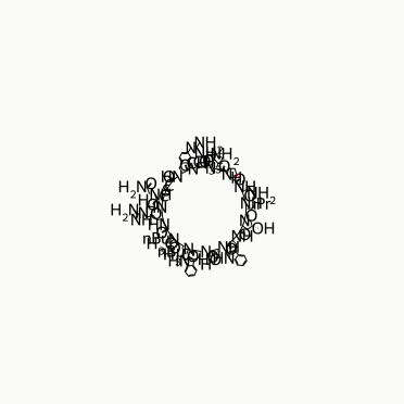 CCCC[C@H]1C(=O)N(C)[C@@H](CCCC)C(=O)N[C@@H](CCCNC(=N)N)C(=O)N[C@H](C(=O)NCC(N)=O)CSCC(=O)N[C@@H](Cc2ccc(N=C(N)N)cc2)C(=O)N(C)[C@@H](C)C(=O)N[C@@H](CC(N)=O)C(=O)N2CCC[C@H]2C(=O)N[C@@H](CN)C(=O)N[C@@H](CC(C)C)C(=O)N2C[C@H](O)CC2C(=O)N[C@@H](Cc2c[nH]c3ccccc23)C(=O)N[C@@H](CO)C(=O)N[C@@H](Cc2c[nH]c3ccccc23)C(=O)N1C